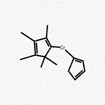 CC1=C(C)C(C)(C)[C]([Cr][C]2=CC=CC2)=C1C